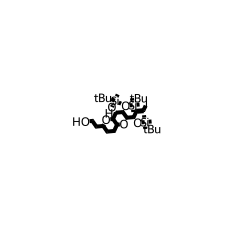 CC(C)(C)[Si](C)(C)OC1[C@H]2OC(CCO)CCC2O[C@@H]([C@H](/C=C/I)O[Si](C)(C)C(C)(C)C)[C@H]1O[Si](C)(C)C(C)(C)C